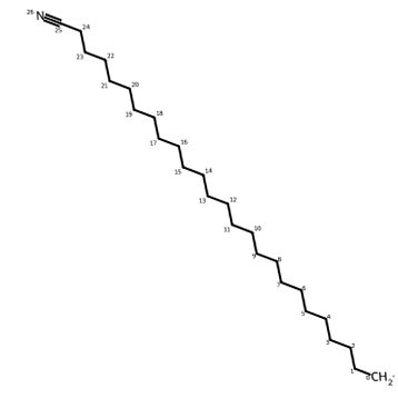 [CH2]CCCCCCCCCCCCCCCCCCCCCCCCC#N